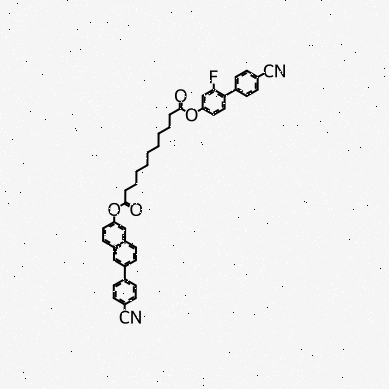 N#Cc1ccc(-c2ccc3cc(OC(=O)CCCCCCCCCC(=O)Oc4ccc(-c5ccc(C#N)cc5)c(F)c4)ccc3c2)cc1